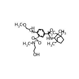 COCCNc1ccc(C(=O)NC2C(C)(C)[C@@H]3CC[C@@]2(C)C3)cc1S(=O)(=O)N(C)CCO